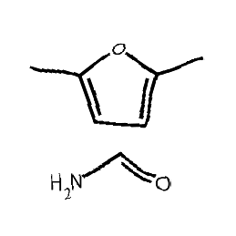 Cc1ccc(C)o1.NC=O